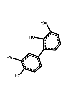 CC(C)(C)c1cc(-c2cccc(C(C)(C)C)c2O)ccc1O